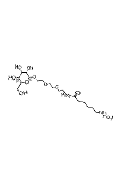 CCOC(=O)NCCCCCC(=O)NCCOCCOCCO[C@H]1OC(CO)[C@@H](O)C(O)C1O